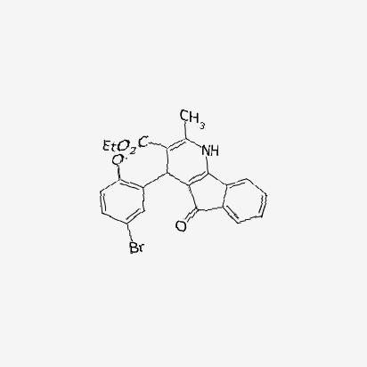 CCOC(=O)C1=C(C)NC2=C(C(=O)c3ccccc32)C1c1cc(Br)ccc1[O]